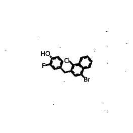 Oc1ccc(Cc2cc(Br)c3ccccc3c2Cl)cc1F